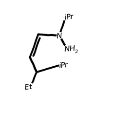 CCC(/C=C\N(N)C(C)C)C(C)C